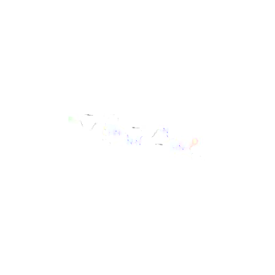 CC(=O)NCc1ccc(-c2ccc(NCC(C)(C)c3ccc(F)cc3)nn2)cn1